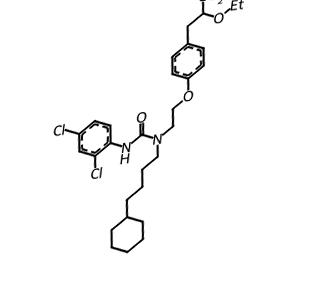 CCOC(Cc1ccc(OCCN(CCCCC2CCCCC2)C(=O)Nc2ccc(Cl)cc2Cl)cc1)C(=O)O